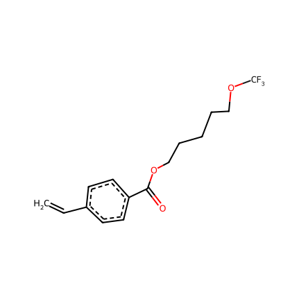 C=Cc1ccc(C(=O)OCCCCCOC(F)(F)F)cc1